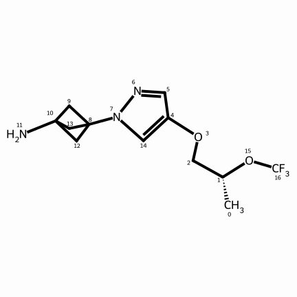 C[C@H](COc1cnn(C23CC(N)(C2)C3)c1)OC(F)(F)F